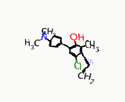 C=C/C=C\c1c(Cl)cc(-c2ccc(N(C)C)cc2)c(O)c1C